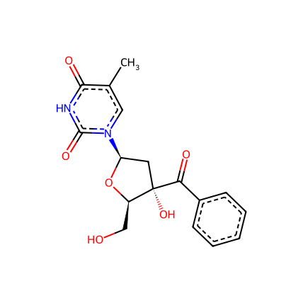 Cc1cn([C@H]2C[C@@](O)(C(=O)c3ccccc3)[C@@H](CO)O2)c(=O)[nH]c1=O